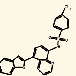 Cc1ccc(S(=O)(=O)Nc2ccc(-c3cc4ccccc4s3)c3cccnc23)cc1